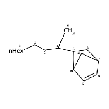 CCCCCCCCC(C)C1CC2C=CC1C2